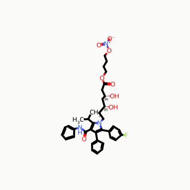 CC(C)c1c(C(=O)Nc2ccccc2)c(-c2ccccc2)c(-c2ccc(F)cc2)n1CC[C@@H](O)C[C@@H](O)CC(=O)OCCCCO[N+](=O)[O-]